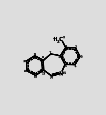 [CH2]c1cccc2c1Cc1ccccc1C=N2